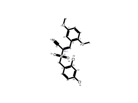 COc1ccc(OC)c(/C=C(\C#N)S(=O)(=O)Cc2ccc(Cl)cc2Cl)c1